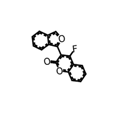 O=c1oc2ccccc2c(F)c1-c1occ2ccccc12